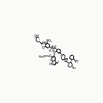 COCCOc1nc2[nH]cc(F)c2cc1Oc1cc(N2CCC3(CC2)CC(N2CCN(C(C)=O)C[C@H]2c2ccccc2C(C)C)C3)ccc1C(=O)NS(=O)(=O)c1cc2c(c([N+](=O)[O-])c1)N[C@@H]([C@H]1CC[C@](C)(O)CC1)CO2